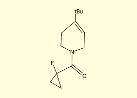 CC(C)(C)C1=CCN(C(=O)C2(F)CC2)CC1